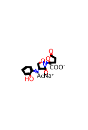 CC(=O)N(c1ccccc1O)[C@H]1CON(C2(C(=O)[O-])CCC(=O)O2)C1=O.[Na+]